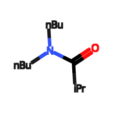 CCCCN(CCCC)C(=O)C(C)C